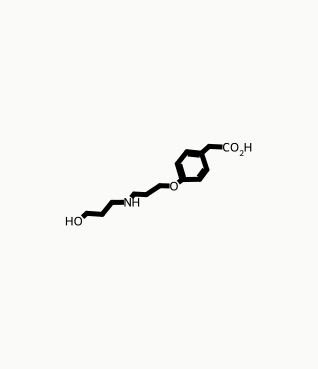 O=C(O)Cc1ccc(OCCCNCCCO)cc1